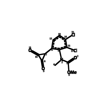 COC(=O)N(C)c1c(C2C(=O)C2=O)ccc(Cl)c1Cl